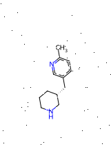 Cc1ccc(C[C@H]2CCCNC2)cn1